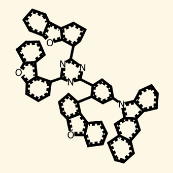 c1ccc2cc3c(cc2c1)c1ccccc1n3-c1ccc(-c2nc(-c3cccc4c3oc3ccccc34)nc(-c3cccc4oc5ccccc5c34)n2)c(-c2cccc3oc4ccccc4c23)c1